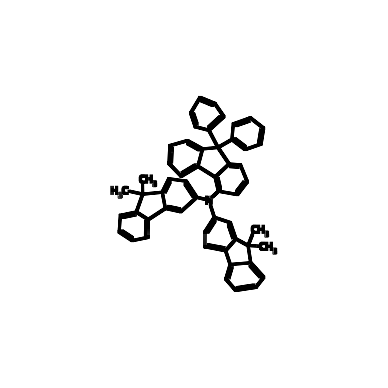 CC1(C)c2ccccc2-c2cc(N(c3ccc4c(c3)C(C)(C)c3ccccc3-4)c3cccc4c3-c3ccccc3C4(c3ccccc3)c3ccccc3)ccc21